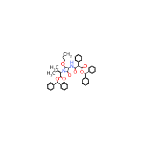 C=CCOC1C(NC(=O)C(C(=O)OC(c2ccccc2)c2ccccc2)c2ccccc2)C(=O)N1C(C(=O)OC(c1ccccc1)c1ccccc1)=C(C)C